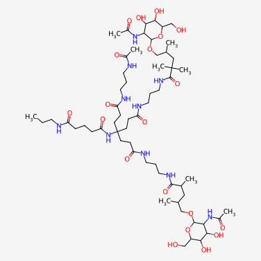 CCCNC(=O)CCCC(=O)NC(CCC(=O)NCCCNC(C)=O)(CCC(=O)NCCCNC(=O)C(C)CC(C)COC1OC(CO)C(O)C(O)C1NC(C)=O)CCC(=O)NCCCNC(=O)C(C)(C)CC(C)COC1OC(CO)C(O)C(O)C1NC(C)=O